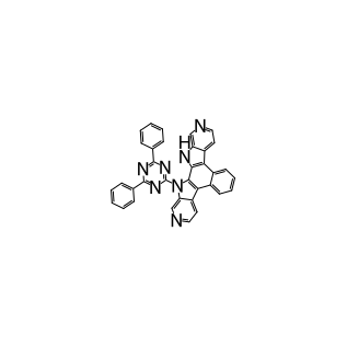 c1ccc(-c2nc(-c3ccccc3)nc(-n3c4cnccc4c4c5ccccc5c5c6ccncc6[nH]c5c43)n2)cc1